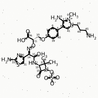 C[n+]1c(N)c(-c2ccc(OC[C@H](O/N=C(\C(=O)N[C@@H]3C(=O)N(OS(=O)(=O)[O-])C3(C)C)c3csc(N)n3)C(=O)O)cc2)cn1CCCN